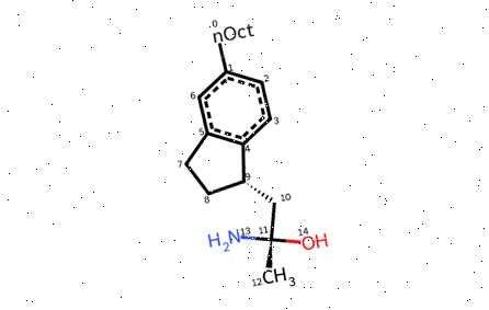 CCCCCCCCc1ccc2c(c1)CC[C@H]2C[C@@](C)(N)O